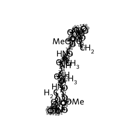 C=CCOC(=O)N1c2cc(OCCCC(=O)Nc3cc(C(=O)NCCCNC(=O)c4cc(NC(=O)CCCOc5cc6c(cc5OC)C(=O)N5CCC[C@H]5[C@H](OC5CCCCO5)N6C(=O)OCC=C)cn4C)n(C)c3)c(OC)cc2C(=O)N2CCC[C@H]2[C@@H]1OC1CCCCO1